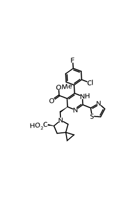 COC(=O)C1=C(c2ccc(F)cc2Cl)NC(c2nccs2)=N[C@H]1CN1CC2(CC2)C[C@H]1C(=O)O